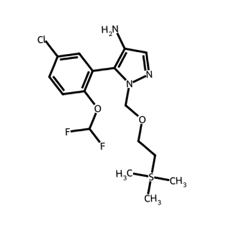 CS(C)(C)CCOCn1ncc(N)c1-c1cc(Cl)ccc1OC(F)F